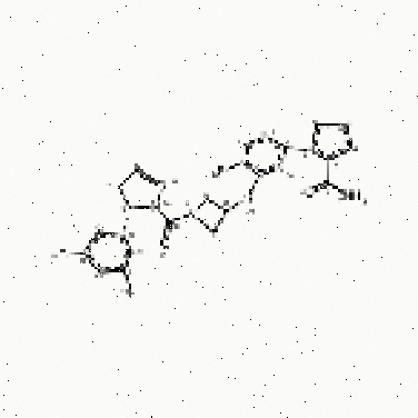 NC(=O)c1cccn1-c1ncc(F)c(OC2CN(C(=O)N3N=CC[C@H]3c3cc(F)cc(F)c3)C2)n1